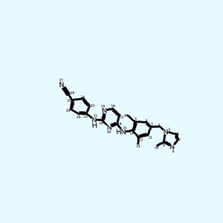 Cc1cc(Cn2ccnc2C)cc(C)c1Nc1ccnc(Nc2ccc(C#N)cc2)n1